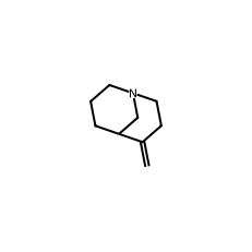 C=C1CCN2CCCC1C2